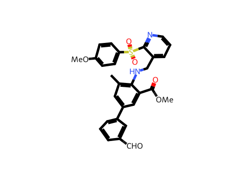 COC(=O)c1cc(-c2cccc(C=O)c2)cc(C)c1NCc1cccnc1S(=O)(=O)c1ccc(OC)cc1